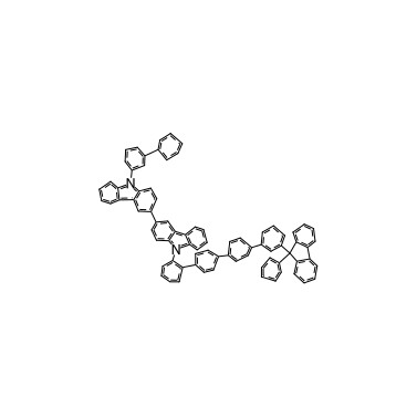 c1ccc(-c2cccc(-n3c4ccccc4c4cc(-c5ccc6c(c5)c5ccccc5n6-c5ccccc5-c5ccc(-c6ccc(-c7cccc(C8(c9ccccc9)c9ccccc9-c9ccccc98)c7)cc6)cc5)ccc43)c2)cc1